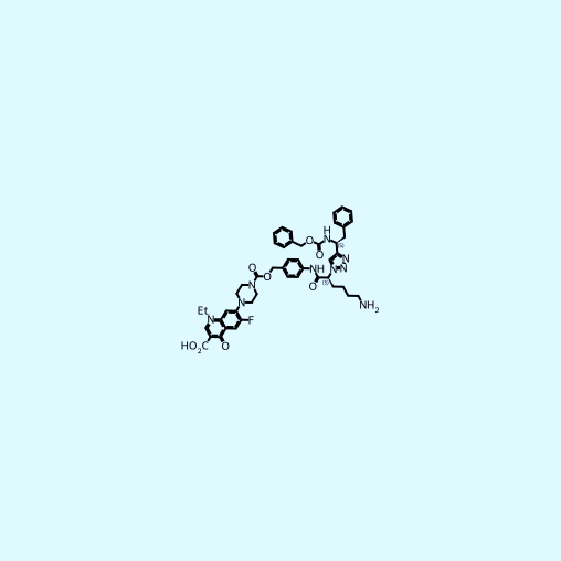 CCn1cc(C(=O)O)c(=O)c2cc(F)c(N3CCN(C(=O)OCc4ccc(NC(=O)[C@H](CCCCN)n5cc([C@H](Cc6ccccc6)NC(=O)OCc6ccccc6)nn5)cc4)CC3)cc21